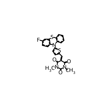 CN1C(=O)C(=Cc2ccc(N3c4ccccc4Sc4cc(F)ccc43)s2)C(=O)N(C)C1=O